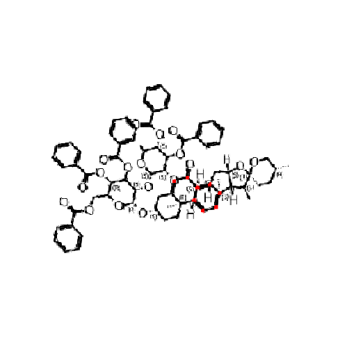 CC1O[C@@H](O[C@H]2C(OC(=O)c3ccccc3)[C@H](OC(=O)c3ccccc3)C(COC(=O)c3ccccc3)O[C@H]2O[C@H]2CC[C@@]3(C)C(=CC[C@H]4[C@@H]5C[C@@H]6O[C@]7(CC[C@@H](C)CO7)[C@@H](C)[C@@H]6[C@@]5(C)CC[C@@H]43)C2)[C@@H](OC(=O)c2ccccc2)C(OC(=O)c2ccccc2)[C@H]1OC(=O)c1ccccc1